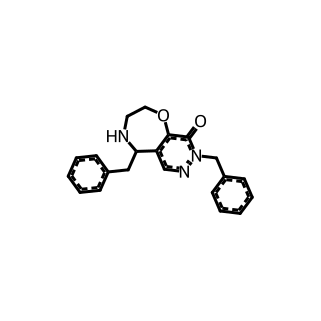 O=c1c2c(cnn1Cc1ccccc1)C(Cc1ccccc1)NCCO2